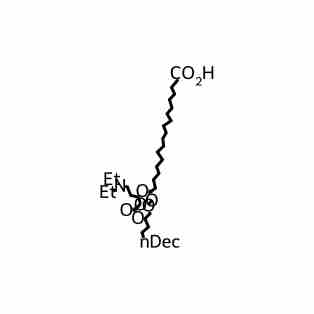 CCCCCCCCCCCCC(COOC(=O)CCCCCCCCCCCCCCCCCC(=O)O)OC(=O)OCCCN(CC)CC